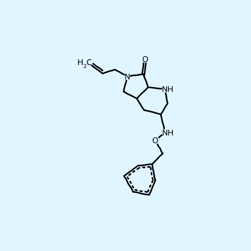 C=CCN1CC2CC(NOCc3ccccc3)CNC2C1=O